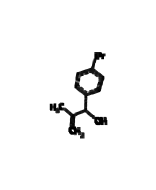 C=C(C)C(O)c1ccc(C(C)C)cc1